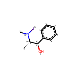 C[C@@H]([C@H](O)c1ccccc1)N(C)I